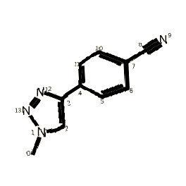 Cn1cc(-c2ccc(C#N)cc2)nn1